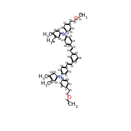 C=COCCc1ccc(N(c2ccc(C=Cc3cccc(C=Cc4ccc(N(c5ccc(CCOC=C)cc5)c5ccc(C)c(C)c5)cc4)c3)cc2)c2ccc(C)c(C)c2)cc1